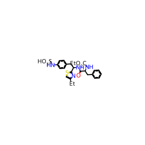 CCOC(=O)NC(Cc1ccccc1)C(=O)NC(Cc1ccc(NS(=O)(=O)O)cc1)c1nc(CC)cs1